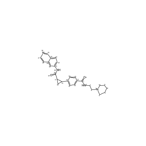 O=C(NCCN1CCCCC1)c1ccc(C2CC2C(=O)Nc2ccc3cnccc3c2)cc1